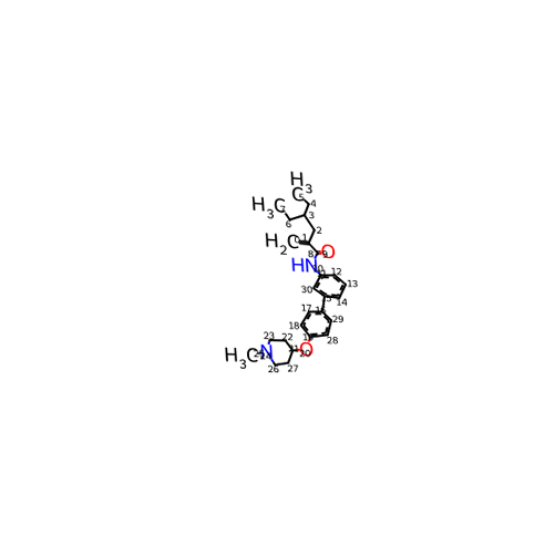 C=C(CC(CC)CC)C(=O)Nc1cccc(-c2ccc(OC3CCN(C)CC3)cc2)c1